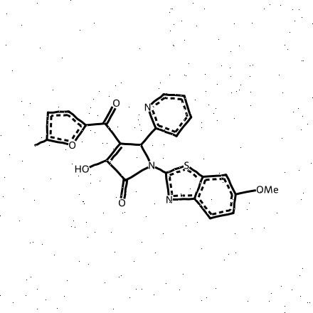 COc1ccc2nc(N3C(=O)C(O)=C(C(=O)c4ccc(C)o4)C3c3ccccn3)sc2c1